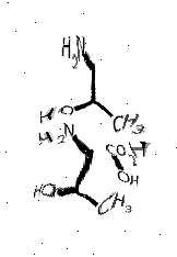 CC(O)CN.CC(O)CN.O=C(O)O